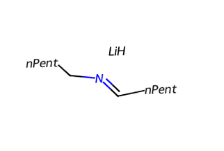 [CH2]CCCCC=NCCCCCC.[LiH]